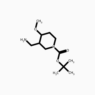 COC1CCN(C(=O)OC(C)(C)C)CC1CN